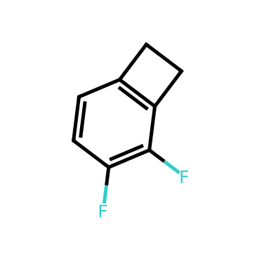 Fc1ccc2c(c1F)CC2